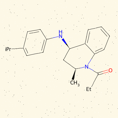 CCC(=O)N1c2ccccc2[C@H](Nc2ccc(C(C)C)cc2)C[C@@H]1C